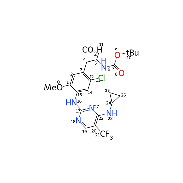 COc1cc(CC(NC(=O)OC(C)(C)C)C(=O)O)c(Cl)cc1Nc1ncc(C(F)(F)F)c(NC2CC2)n1